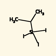 CC(C)[Si](I)(I)I